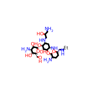 CCNC[C@@H]1CC[C@@H](N)[C@@H](OC2[C@@H](N)C[C@@H](NCC(O)CN)[C@H](O[C@H]3O[C@H](CO)[C@@H](O)[C@H](N)[C@H]3O)[C@H]2O)O1